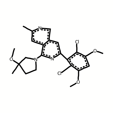 COc1cc(OC)c(Cl)c(-c2cc3cnc(C)cc3c(N3CCC(C)(OC)C3)n2)c1Cl